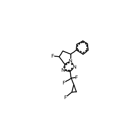 FC1CC(c2ccccc2)n2nc(C(F)(F)C3CC3F)nc21